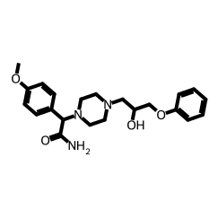 COc1ccc(C(C(N)=O)N2CCN(CC(O)COc3ccccc3)CC2)cc1